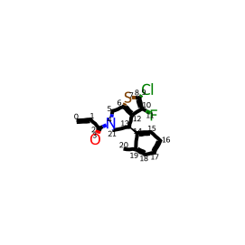 C=CC(=O)N1Cc2sc(Cl)c(F)c2[C@@H](c2ccccc2C)C1